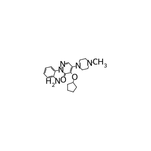 CN1CCN(c2cnn(-c3ccccc3N)c(=O)c2OC2CCCC2)CC1